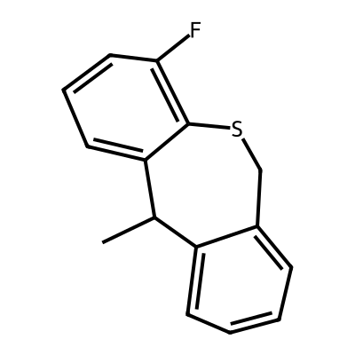 CC1c2ccccc2CSc2c(F)cccc21